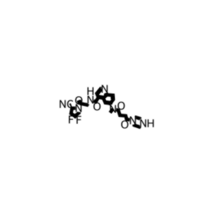 CN(C(=O)CCC(=O)N1CCNCC1)c1ccc2nccc(C(=O)NCC(=O)N3CC(F)(F)C[C@H]3C#N)c2c1